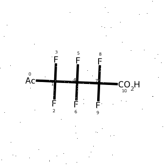 CC(=O)C(F)(F)C(F)(F)C(F)(F)C(=O)O